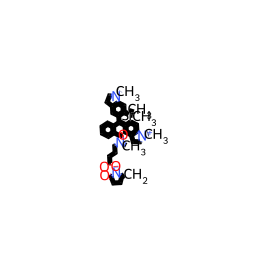 C=C1CCC(=O)N1OC(=O)CCCN(C)C(=O)c1ccccc1C1=c2cc3c(cc2[Si](C)(C)c2cc4c(cc21)CCN4C)=[N+](C)CC3